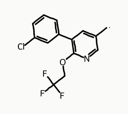 [CH2]c1cnc(OCC(F)(F)F)c(-c2cccc(Cl)c2)c1